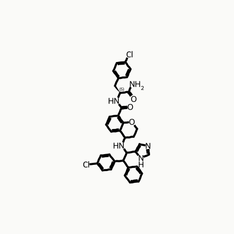 NC(=O)[C@H](Cc1ccc(Cl)cc1)NC(=O)c1cccc2c1OCCC2NC(c1cnc[nH]1)C(c1ccccc1)c1ccc(Cl)cc1